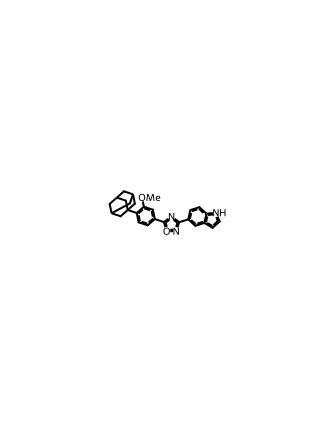 COc1cc(-c2nc(-c3ccc4[nH]ccc4c3)no2)ccc1C12CC3CC(CC(C3)C1)C2